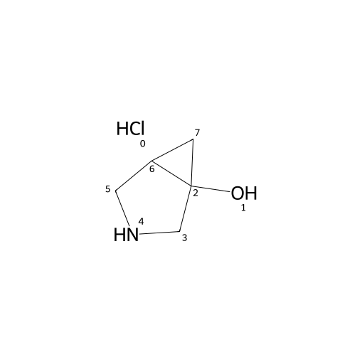 Cl.OC12CNCC1C2